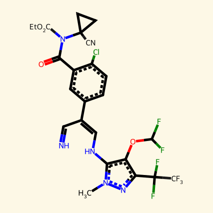 CCOC(=O)N(C(=O)c1cc(/C(C=N)=C/Nc2c(OC(F)F)c(C(F)(F)C(F)(F)F)nn2C)ccc1Cl)C1(C#N)CC1